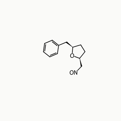 O=NC[C@@H]1CC[C@H](Cc2ccccc2)O1